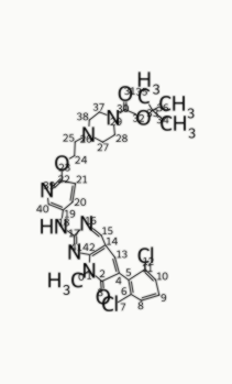 Cn1c(=O)c(-c2c(Cl)cccc2Cl)cc2cnc(Nc3ccc(OCCN4CCN(C(=O)OC(C)(C)C)CC4)nc3)nc21